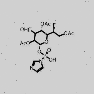 CC(=O)OC[C@H](F)C1O[C@@H](OP(=O)(O)n2ccnc2)C(OC(C)=O)C(C=O)[C@@H]1OC(C)=O